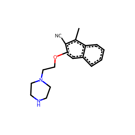 Cc1c(C#N)c(OCCN2CCNCC2)cc2ccccc12